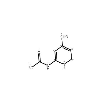 CCC(=O)NC1=CC(C=O)=CCN1